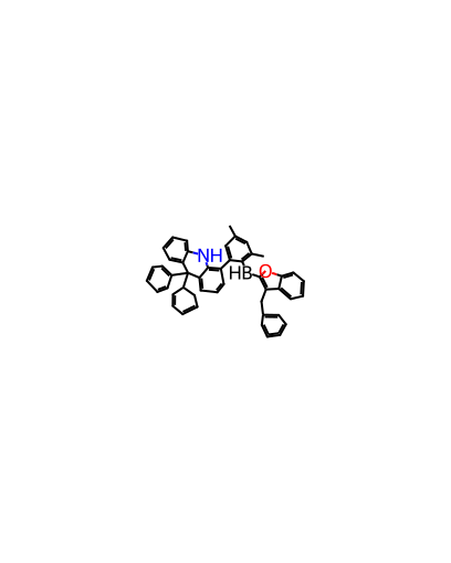 Cc1cc(C)c(Bc2oc3ccccc3c2CC2=CC=C=C=C2)c(-c2cccc3c2Nc2ccccc2C3(c2ccccc2)C2C=CC=CC2)c1